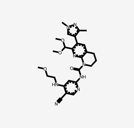 COCCNc1cc(NC(=O)N2CCCc3cc(-c4cn(C)nc4C)c(C(OC)OC)nc32)ncc1C#N